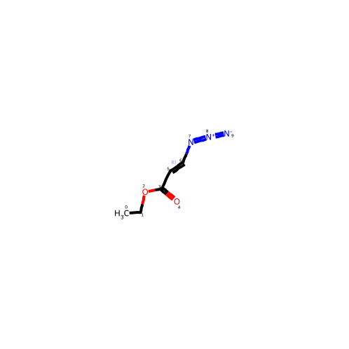 CCOC(=O)/C=C/N=[N+]=[N-]